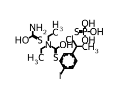 CC(Cl)c1ccc(I)cc1.CCN(CC)C(O)=S.NC(O)=S.OP(O)(O)=S